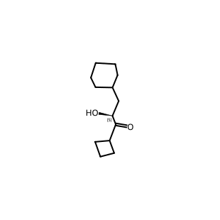 O=C(C1CCC1)[C@@H](O)CC1CCCCC1